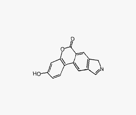 O=c1oc2cc(O)ccc2c2cc3c(cc12)CN=C3